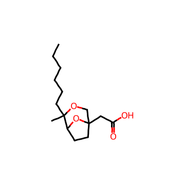 CCCCCCC1(C)OCC2(CC(=O)O)CCC1O2